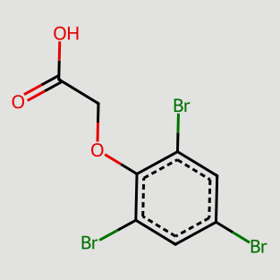 O=C(O)COc1c(Br)cc(Br)cc1Br